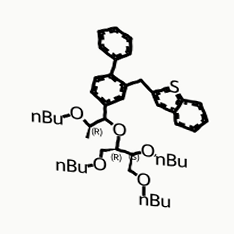 CCCCOC[C@H](OCCCC)[C@@H](COCCCC)OC(c1ccc(-c2ccccc2)c(Cc2cc3ccccc3s2)c1)[C@@H](C)OCCCC